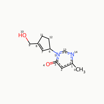 Cc1cc(=O)n(C2C=C(CO)CC2)cn1